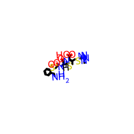 Cn1nnnc1SCC1=C(C(=O)O)N2C(=O)C(NC(=O)C[S+]([O-])c3ccccc3CN)[C@H]2SC1